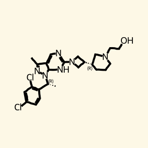 CC1=NN([C@H](C)c2ccc(Cl)cc2Cl)C2NC(N3CC([C@H]4CCCN(CCO)C4)C3)=NC=C12